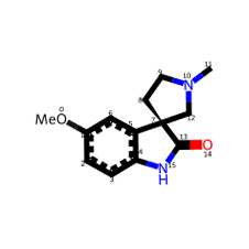 COc1ccc2c(c1)[C@@]1(CCN(C)C1)C(=O)N2